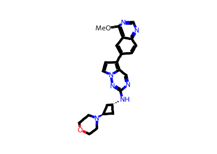 COc1ncnc2ccc(-c3ccn4nc(N[C@H]5C[C@H](N6CCOCC6)C5)ncc34)cc12